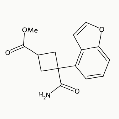 COC(=O)C1CC(C(N)=O)(c2cccc3occc23)C1